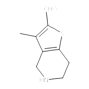 Cc1c(C=O)sc2c1CNCC2